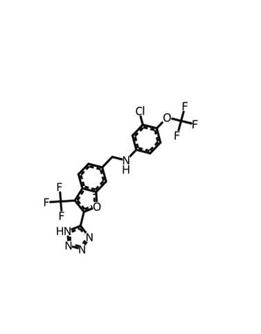 FC(F)(F)Oc1ccc(NCc2ccc3c(C(F)(F)F)c(-c4nnn[nH]4)oc3c2)cc1Cl